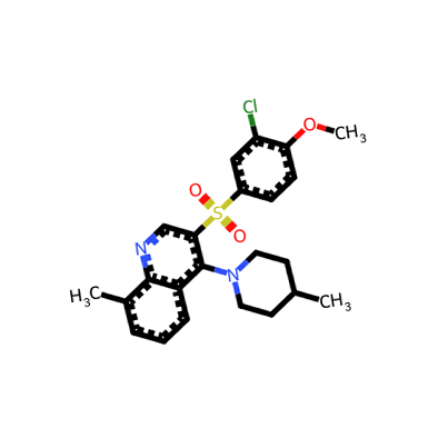 COc1ccc(S(=O)(=O)c2cnc3c(C)cccc3c2N2CCC(C)CC2)cc1Cl